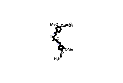 COC1=C(OCCNCl)CCC(/C=C/C(=O)C(C)C(=O)/C=C/c2ccc(OCCN)c(OC)c2)=C1